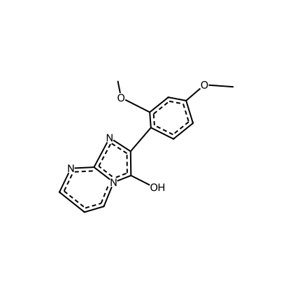 COc1ccc(-c2nc3ncccn3c2O)c(OC)c1